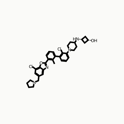 Cc1c(-c2nc3cc(CN4CCCC4)cc(Cl)c3o2)cccc1-c1cccc(N2CCC(N[C@H]3C[C@@H](O)C3)CC2)c1Cl